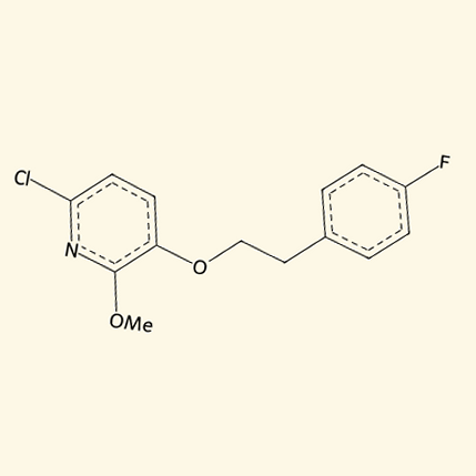 COc1nc(Cl)ccc1OCCc1ccc(F)cc1